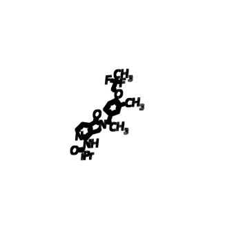 Cc1cc(C(C)N2Cc3c(ccnc3NC(=O)C(C)C)C2=O)ccc1OCC(C)(F)F